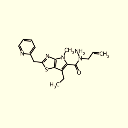 C=CCN(N)C(=O)c1c(CC)c2sc(Cc3ccccn3)nc2n1C